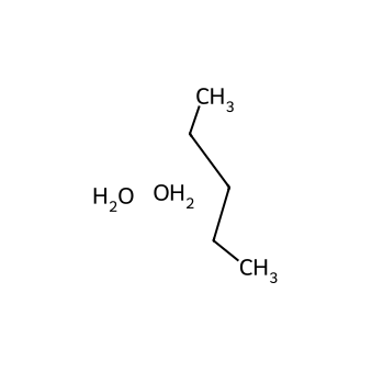 CCCCC.O.O